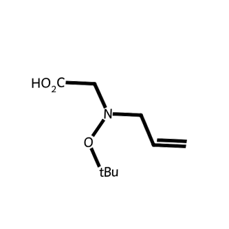 C=CCN(CC(=O)O)OC(C)(C)C